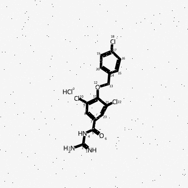 Cl.N=C(N)NC(=O)c1cc(Cl)c(OCc2ccc(Cl)cc2)c(Cl)c1